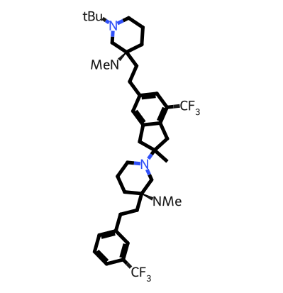 CN[C@]1(CCc2cc3c(c(C(F)(F)F)c2)CC(C)(N2CCC[C@](CCc4cccc(C(F)(F)F)c4)(NC)C2)C3)CCCN(C(C)(C)C)C1